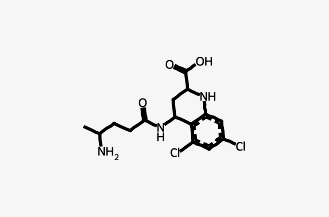 CC(N)CCC(=O)NC1CC(C(=O)O)Nc2cc(Cl)cc(Cl)c21